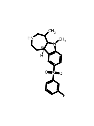 CC1CNCC[C@@H]2c3cc(S(=O)(=O)c4cccc(F)c4)ccc3N(C)C12